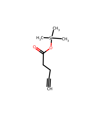 C#CCCC(=O)O[Si](C)(C)C